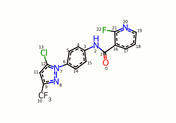 O=C(Nc1ccc(-n2nc(C(F)(F)F)cc2Cl)cc1)c1cccnc1F